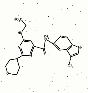 Cc1c[nH]c2ccc(N(C)C(=O)c3cc(NCC(=O)O)nc(N4CCOCC4)n3)cc12